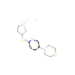 O=C(O)N1CCC(Oc2ccc(N3CCOCC3)cn2)C1